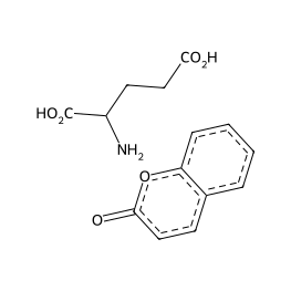 NC(CCC(=O)O)C(=O)O.O=c1ccc2ccccc2o1